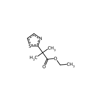 CCOC(=O)C(C)(C)c1nccs1